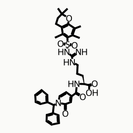 Cc1c(C)c(S(=O)(=O)NC(=N)NCCC[C@H](NC(=O)c2ccn(C(c3ccccc3)c3ccccc3)c(=O)c2)C(=O)O)c(C)c2c1OC(C)(C)CC2